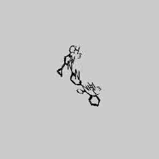 Cc1cc(C2CC2)n(-c2ccc(NC(=O)c3ccccc3C)cn2)n1